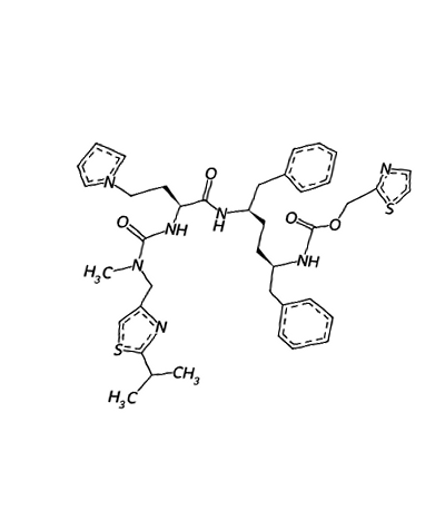 CC(C)c1nc(CN(C)C(=O)N[C@@H](CCn2cccc2)C(=O)N[C@H](CC[C@H](Cc2ccccc2)NC(=O)OCc2nccs2)Cc2ccccc2)cs1